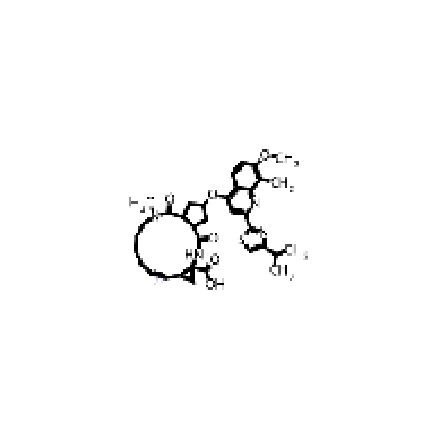 COc1ccc2c(OC3CC4C(=O)NC5(C(=O)O)CC5/C=C\CCCCN(C)C(=O)C4C3)cc(-c3nc(C(C)C)cs3)nc2c1C